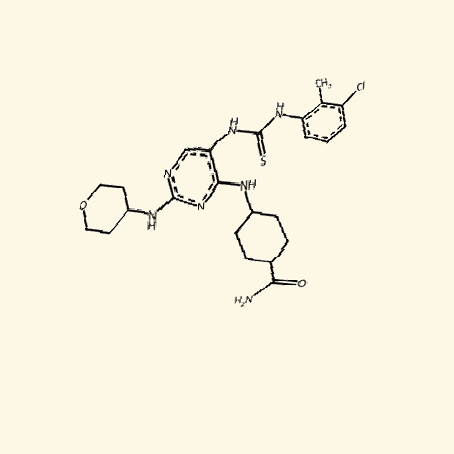 Cc1c(Cl)cccc1NC(=S)Nc1cnc(NC2CCOCC2)nc1NC1CCC(C(N)=O)CC1